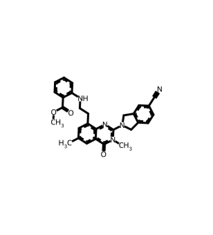 COC(=O)c1ccccc1NCCc1cc(C)cc2c(=O)n(C)c(N3Cc4ccc(C#N)cc4C3)nc12